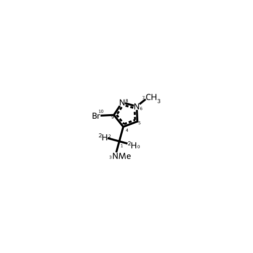 [2H]C([2H])(NC)c1cn(C)nc1Br